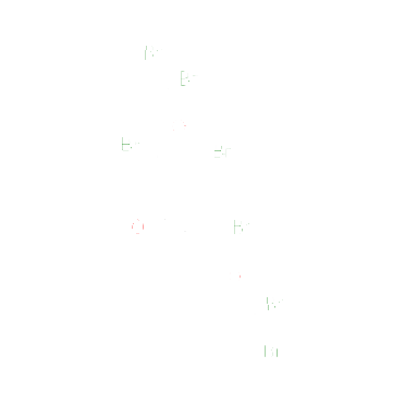 O=C(c1ccc(OCC(Br)CBr)c(Br)c1)c1cc(Br)c(OCC(Br)CBr)c(Br)c1